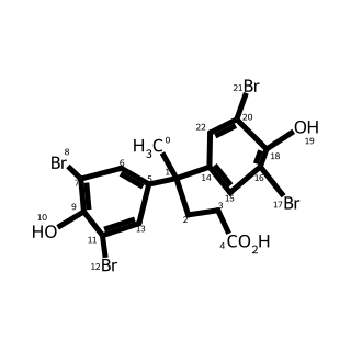 CC(CCC(=O)O)(c1cc(Br)c(O)c(Br)c1)c1cc(Br)c(O)c(Br)c1